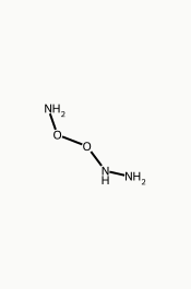 NNOON